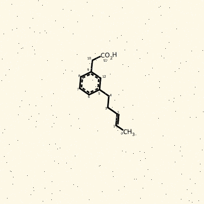 CC=CCCc1cccc(CC(=O)O)c1